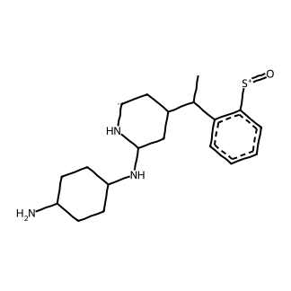 CC(c1ccccc1[S+]=O)C1C[CH]NC(NC2CCC(N)CC2)C1